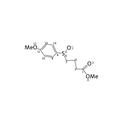 COC(=O)CCC[S+]([O-])c1ccc(OC)cc1